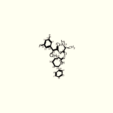 C[C@H](N)C(=O)N(C(=O)[C@@H](O)c1cc(F)cc(F)c1)[C@H]1CCC[C@H](c2ccccc2)NC1=O